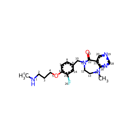 CNCCCOc1ccc(CN2CCN(C)c3ncncc3C2=O)cc1F